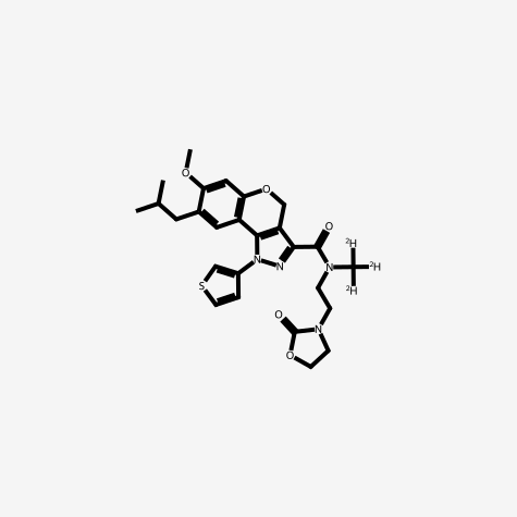 [2H]C([2H])([2H])N(CCN1CCOC1=O)C(=O)c1nn(-c2ccsc2)c2c1COc1cc(OC)c(CC(C)C)cc1-2